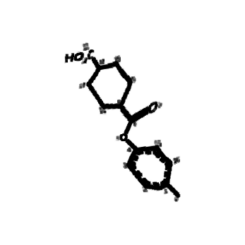 Cc1ccc(OC(=O)C2CCC(C(=O)O)CC2)cc1